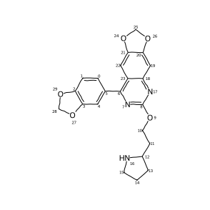 c1cc2c(cc1-c1nc(OCCC3CCCN3)nc3cc4c(cc13)OCO4)OCO2